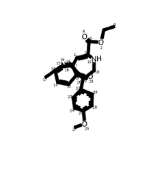 CCOC(=O)C1=CC23C(=CCN1)C=CC=C2N(C)CC3C(=O)c1ccc(OC)cc1